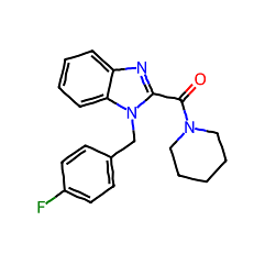 O=C(c1nc2ccccc2n1Cc1ccc(F)cc1)N1CCCCC1